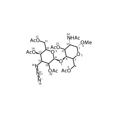 CO[C@@H]1OC(COC(C)=O)[C@@H](O[C@@H]2OC(COC(C)=O)[C@H](OC(C)=O)C(N=[N+]=[N-])C2OC(C)=O)C(OC(C)=O)[C@@H]1NC(C)=O